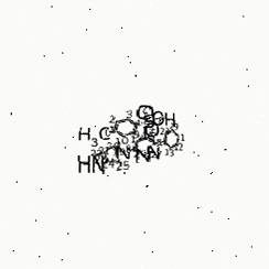 Cc1ccc(S(=O)(=O)O)cc1.c1ccc(-c2ccc(N3CC4CNC4C3)nn2)cc1